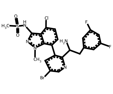 Cn1nc(NS(C)(=O)=O)c2c(Cl)ccc(-c3cc(Br)cnc3C(N)Cc3cc(F)cc(F)c3)c21